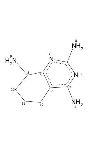 Nc1nc(N)c2c(n1)C(N)CCC2